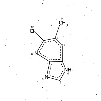 Cc1[c]c2[nH]cnc2nc1Cl